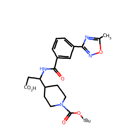 Cc1nc(-c2cccc(C(=O)NC(CC(=O)O)C3CCN(C(=O)OC(C)(C)C)CC3)c2)no1